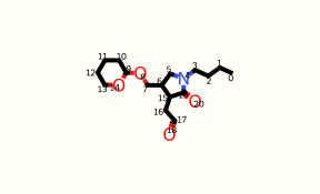 CCCCN1CC(COC2CCCCO2)C(CC=O)C1=O